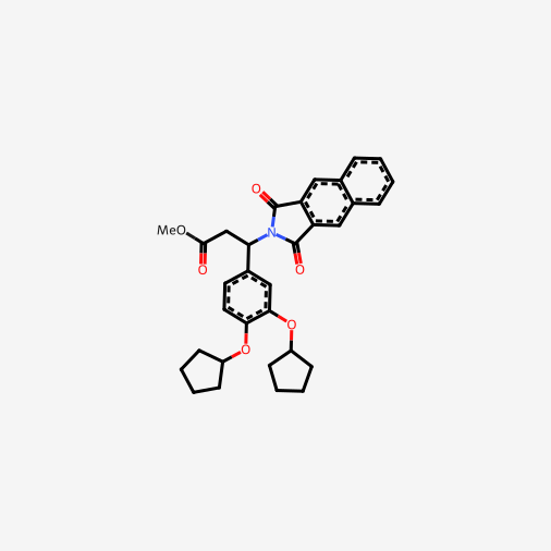 COC(=O)CC(c1ccc(OC2CCCC2)c(OC2CCCC2)c1)N1C(=O)c2cc3ccccc3cc2C1=O